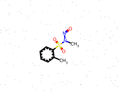 Cc1ccccc1S(=O)(=O)N(C)N=O